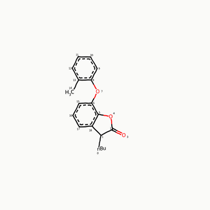 CCCCC1C(=O)Oc2c(Oc3ccccc3C)cccc21